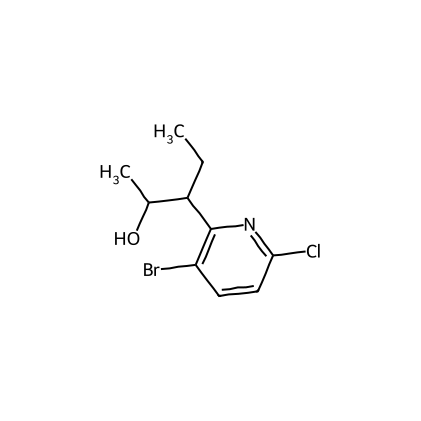 CCC(c1nc(Cl)ccc1Br)C(C)O